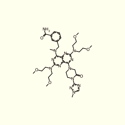 COCCN(CCOC)c1nc(N2CCN(c3ncn(C)n3)C(=O)C2)c2nc(N(CCOC)CCOC)nc(N(C)Cc3cccc(C(N)=O)c3)c2n1